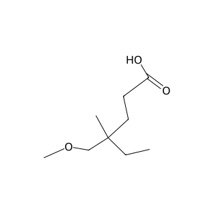 CCC(C)(CCC(=O)O)COC